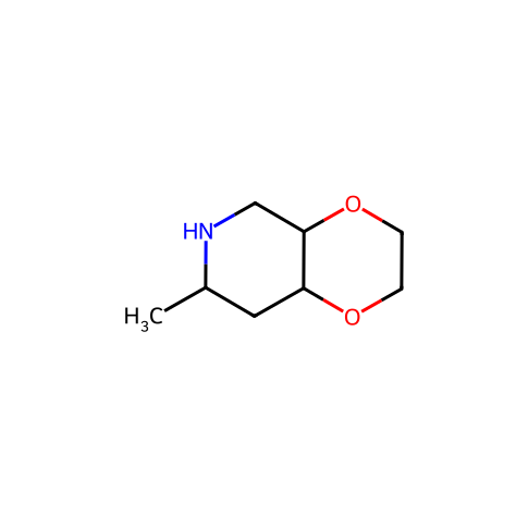 CC1CC2OCCOC2CN1